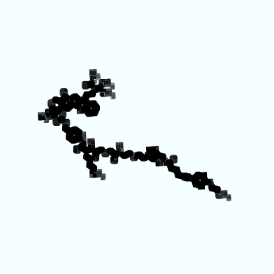 CCCSc1ncc(C#CCCCC(=O)NCc2cn(CCOCCNC(=O)COCC(=O)N[C@@H](CCCCN)C(=O)Nc3ccc(COC(=O)O[C@]4(CC)C(=O)OCc5c4cc4n(c5=O)Cc5c-4nc4ccccc4c5CCN(C(C)=O)C(C)C)cc3)nn2)cn1